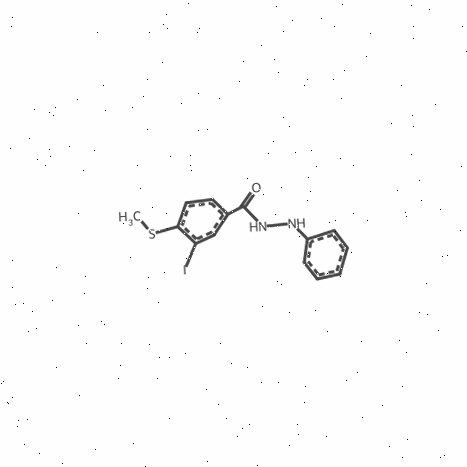 CSc1ccc(C(=O)NNc2ccccc2)cc1I